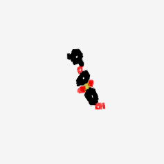 Cc1cccc(COc2ccc(S(=O)(=O)c3ccc(O)cc3)cc2)c1